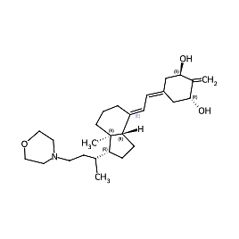 C=C1[C@H](O)CC(=C/C=C2\CCC[C@]3(C)[C@@H](C(C)CCN4CCOCC4)CC[C@@H]23)C[C@H]1O